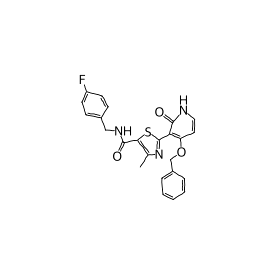 Cc1nc(-c2c(OCc3ccccc3)cc[nH]c2=O)sc1C(=O)NCc1ccc(F)cc1